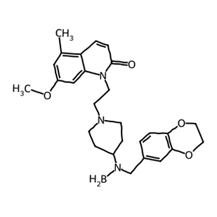 BN(Cc1ccc2c(c1)OCCO2)C1CCN(CCn2c(=O)ccc3c(C)cc(OC)cc32)CC1